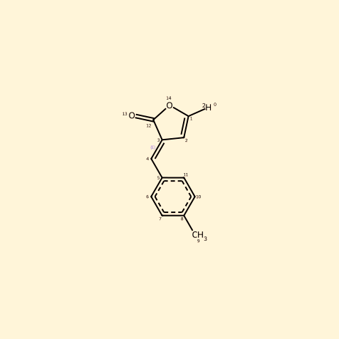 [2H]C1=C/C(=C\c2ccc(C)cc2)C(=O)O1